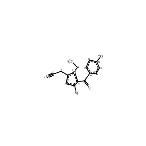 CCn1c(CC#N)cc(Br)c1C(=O)c1ccc(Cl)cc1